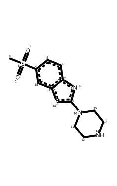 CS(=O)(=O)c1ccc2nc(N3CCNCC3)sc2c1